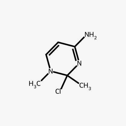 CN1C=CC(N)=NC1(C)Cl